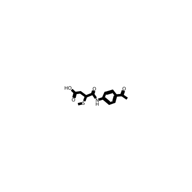 CSC(CC(=O)O)C(=O)Nc1ccc(C(C)=O)cc1